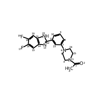 CC(=O)N1CCN(c2cccc(-c3nc4cc(F)c(F)cc4[nH]3)c2)CC1